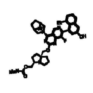 CCc1cccc2cc(O)cc(-c3ncc4c(N5CC6CCC(C5)N6)nc(OC[C@]56CCCN5[C@@H](COC(=O)NC)CC6)nc4c3F)c12